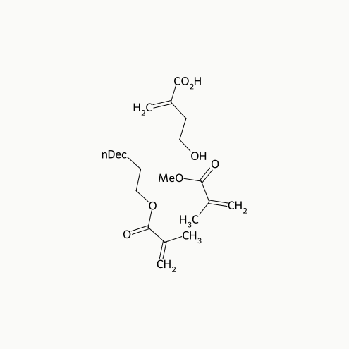 C=C(C)C(=O)OC.C=C(C)C(=O)OCCCCCCCCCCCC.C=C(CCO)C(=O)O